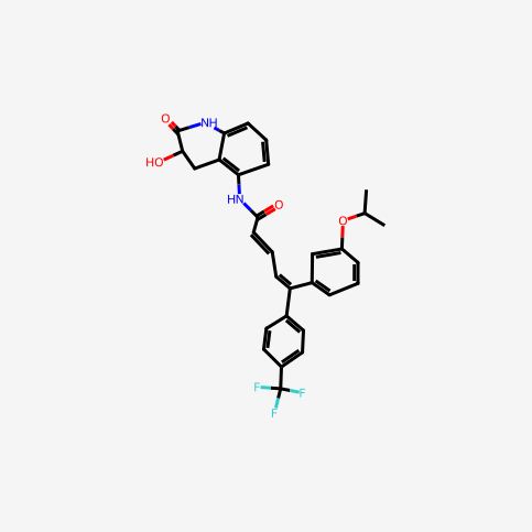 CC(C)Oc1cccc(/C(=C\C=C\C(=O)Nc2cccc3c2CC(O)C(=O)N3)c2ccc(C(F)(F)F)cc2)c1